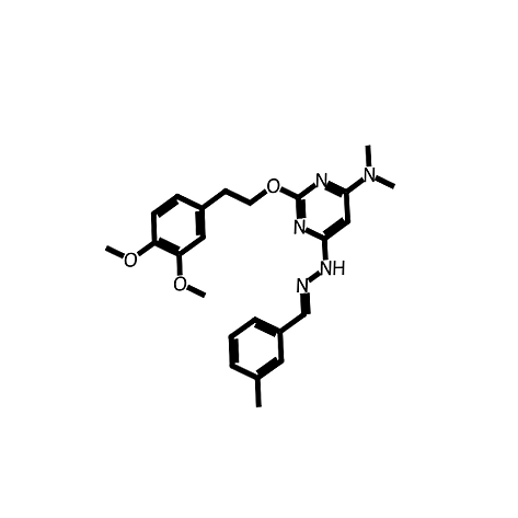 COc1ccc(CCOc2nc(N/N=C/c3cccc(C)c3)cc(N(C)C)n2)cc1OC